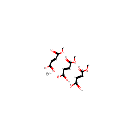 COC(=O)/C=C/C(=O)[O-].COC(=O)/C=C/C(=O)[O-].COC(=O)/C=C/C(=O)[O-].[Fe+3]